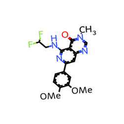 COc1ccc(-c2cc3ncn(C)c(=O)c3c(NCC(F)F)n2)cc1OC